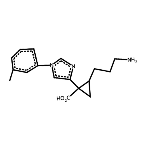 Cc1cccc(-n2cnc(C3(C(=O)O)CC3CCCN)c2)c1